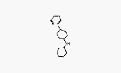 c1ccc(C2CCC(NC3CCCCC3)CC2)cc1